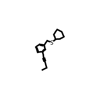 CCC#Cc1cccc(CSC2CCCCC2)c1